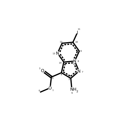 COC(=O)c1c(N)nn2cc(I)cnc12